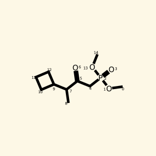 COP(=O)(CC(=O)C(C)C1CCC1)OC